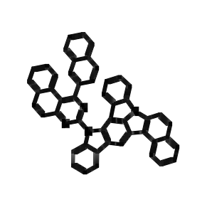 c1ccc2cc(-c3nc(-n4c5ccccc5c5cc6c7c8ccccc8ccc7n7c8ccccc8c(c54)c67)nc4ccc5ccccc5c34)ccc2c1